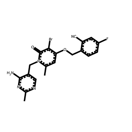 Cc1ncc(Cn2c(C)cc(OCc3ccc(F)cc3C#N)c(Br)c2=O)c(N)n1